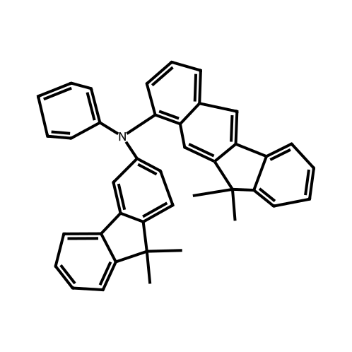 CC1(C)c2ccccc2-c2cc(N(c3ccccc3)c3cccc4cc5c(cc34)C(C)(C)c3ccccc3-5)ccc21